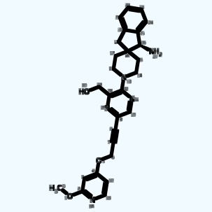 COc1cc(OCC#Cc2cnc(N3CCC4(CC3)Cc3ccccc3[C@H]4N)c(CO)n2)ccn1